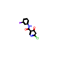 O=C1CC(Cl)=NC=C1C(=O)Nc1cccc(I)c1